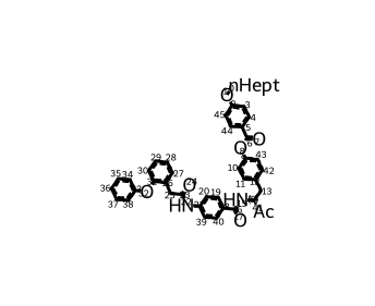 CCCCCCCOc1ccc(C(=O)Oc2ccc(C[C@H](NC(=O)c3ccc(NC(=O)Cc4ccccc4Oc4ccccc4)cc3)C(C)=O)cc2)cc1